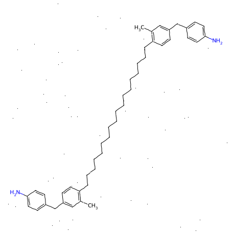 Cc1cc(Cc2ccc(N)cc2)ccc1CCCCCCCCCCCCCCCCCCc1ccc(Cc2ccc(N)cc2)cc1C